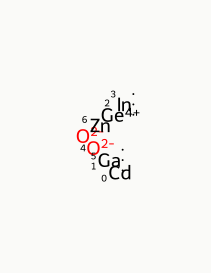 [Cd].[Ga].[Ge+4].[In].[O-2].[O-2].[Zn]